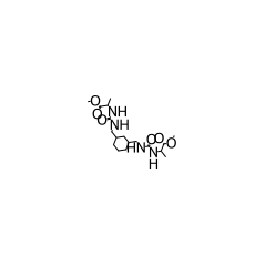 COC(=O)C(C)NC(=O)NCC1CCCC(CNC(=O)NC(C)C(=O)OC)C1